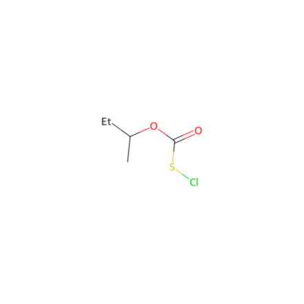 CCC(C)OC(=O)SCl